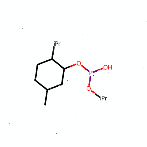 CC1CCC(C(C)C)C(OP(O)OC(C)C)C1